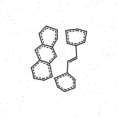 C(=Cc1ccccc1)c1ccccc1.c1ccc2cc3ccccc3cc2c1